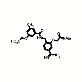 CNC(=O)COc1cc(C(=N)N)ccc1CNC(=O)c1cc(C)cc(OCC(=O)O)c1